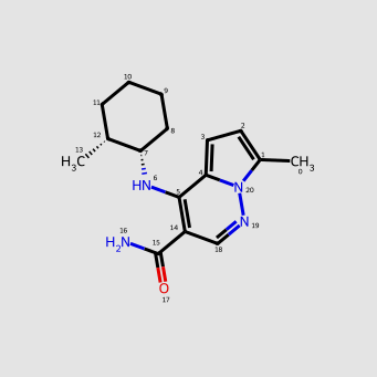 Cc1ccc2c(N[C@H]3CCCC[C@H]3C)c(C(N)=O)cnn12